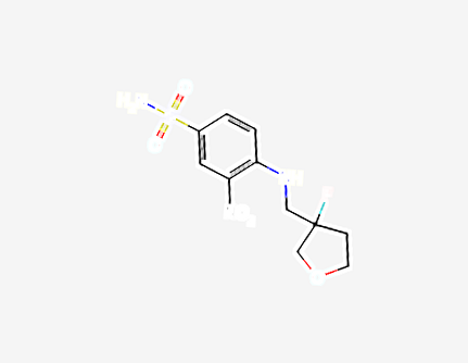 NS(=O)(=O)c1ccc(NCC2(F)CCOC2)c([N+](=O)[O-])c1